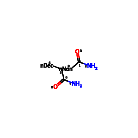 CCCCCCCCCC(N)=O.CCCCCCCCCCCC(N)=O